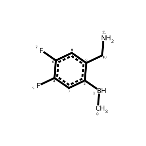 CBc1cc(F)c(F)cc1CN